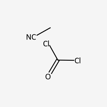 CC#N.O=C(Cl)Cl